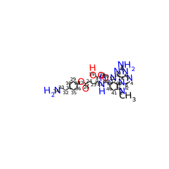 CN(Cc1cnc2nc(N)nc(N)c2n1)c1ccc(C(=O)NC(CCC(=O)Oc2ccc(CCN)cc2)C(=O)O)cc1